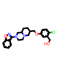 OCc1cc(OCC2CCC3CN(c4noc5ccccc45)CCN3C2)ccc1Cl